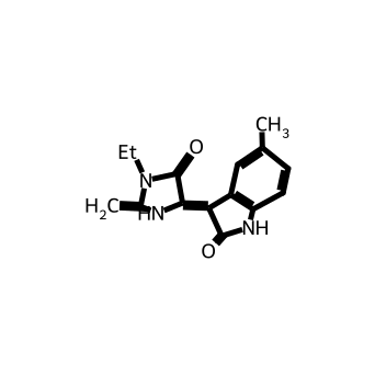 C=c1[nH]/c(=C2\C(=O)Nc3ccc(C)cc32)c(=O)n1CC